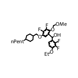 CCCCCC1CCC(COc2cc(C(O)c3ccc(OCC)c(F)c3F)c(OCOC)c(F)c2F)CC1